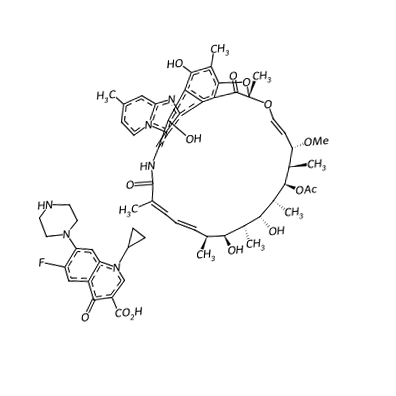 CO[C@H]1/C=C/O[C@@]2(C)Oc3c(C)c(O)c4c(O)c(c5c(nc6cc(C)ccn65)c4c3C2=O)NC(=O)/C(C)=C\C=C\[C@H](C)[C@H](O)[C@@H](C)[C@@H](O)[C@@H](C)[C@H](OC(C)=O)[C@@H]1C.O=C(O)c1cn(C2CC2)c2cc(N3CCNCC3)c(F)cc2c1=O